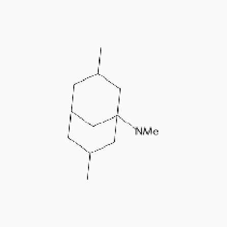 CNC12CC(C)CC(CC(C)C1)C2